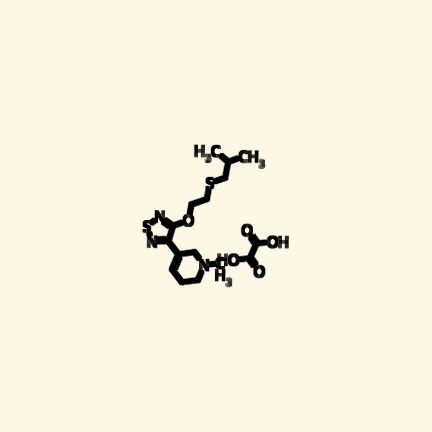 CC(C)CSCCOc1nsnc1C1=CCCN(C)C1.O=C(O)C(=O)O